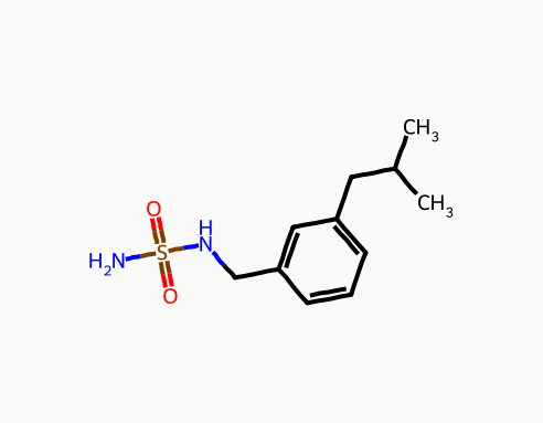 CC(C)Cc1cccc(CNS(N)(=O)=O)c1